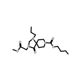 CCCCOC(=O)N1CCC2(CC1)C(=O)N(CC(=O)OC)CN2CCC